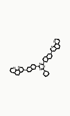 c1ccc(-c2nc(-c3ccc4cc(-c5cnc6c(ccc7cccnc76)c5)ccc4c3)nc(-c3ccc4cc(-c5cnc6c(ccc7cccnc76)c5)ccc4c3)n2)cc1